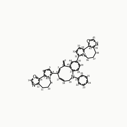 C=C1/C=C(c2ccc3n2CCCc2ncoc2-3)\C=C/CN(c2ccccc2)c2ccc(-c3ccc4n3CCCc3ncoc3-4)cc21